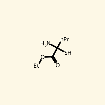 CCCC(N)(S)C(=O)OCC